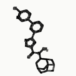 CN(C(=O)n1cnc(-c2cccc(-c3ccc(Cl)nc3)c2)c1)C12CC3CC4CC(C1)C4(C3)C2